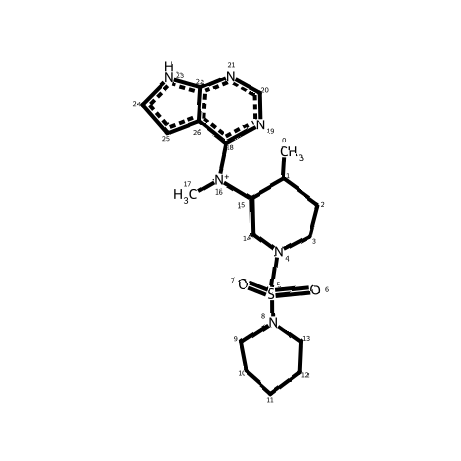 CC1CCN(S(=O)(=O)N2CCCCC2)CC1[N+](C)c1ncnc2[nH]ccc12